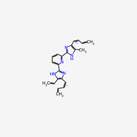 C=C/C=C\c1nc(-c2cccc(-c3nc(/C=C\C=C)c(C=C)[nH]3)n2)[nH]c1C